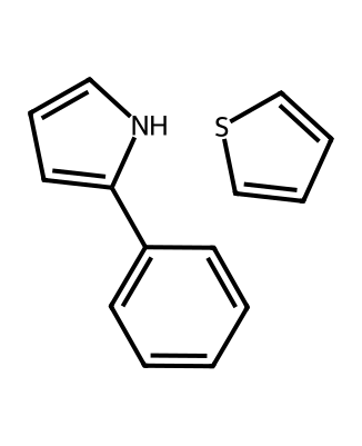 c1ccc(-c2ccc[nH]2)cc1.c1ccsc1